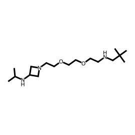 CC(C)NC1CN(CCOCCOCCNCC(C)(C)C)C1